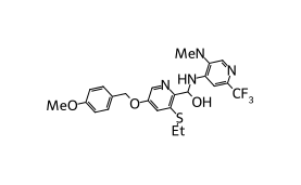 CCSc1cc(OCc2ccc(OC)cc2)cnc1C(O)Nc1cc(C(F)(F)F)ncc1NC